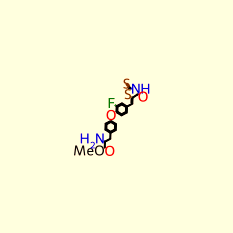 COC(=O)[C@@H](N)Cc1ccc(Oc2ccc(/C=C3\SC(=S)NC3=O)cc2F)cc1